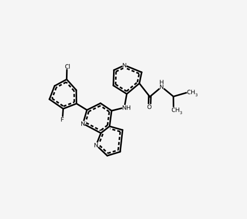 CC(C)NC(=O)c1cnccc1Nc1cc(-c2cc(Cl)ccc2F)nc2ncccc12